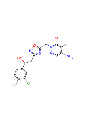 Cc1c(N)cnn(Cc2nc(C[C@H](O)c3ccc(Cl)c(Cl)c3)no2)c1=O